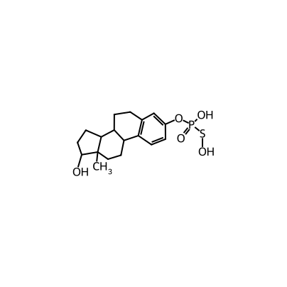 CC12CCC3c4ccc(OP(=O)(O)SO)cc4CCC3C1CCC2O